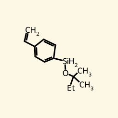 C=Cc1ccc([SiH2]OC(C)(C)CC)cc1